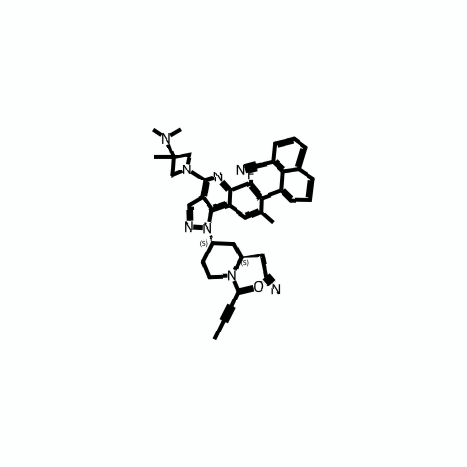 CC#CC(=O)N1CC[C@H](n2ncc3c(N4CC(C)(N(C)C)C4)nc4c(F)c(-c5cccc6cccc(C#N)c56)c(C)cc4c32)C[C@H]1CC#N